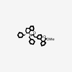 COC(=O)c1ccccc1-c1cccc(CC(=O)N(Cc2ccccc2)[C@@H]2c3ccccc3CC[C@H]2Cc2ccccc2)c1